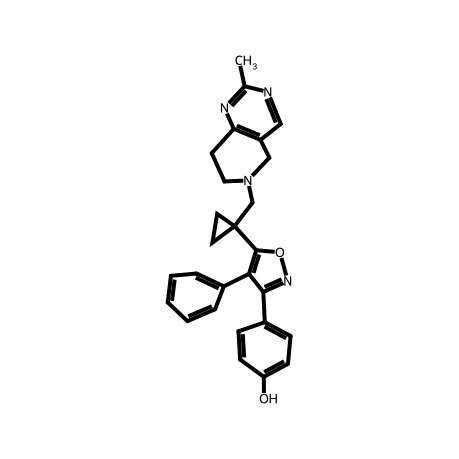 Cc1ncc2c(n1)CCN(CC1(c3onc(-c4ccc(O)cc4)c3-c3ccccc3)CC1)C2